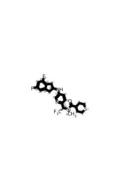 CN(C(=O)C1CCSCC1)[C@@H](c1ccc(NC2Cc3cc(F)cc(F)c3C2)cn1)C(F)(F)F